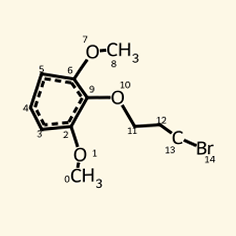 COc1cccc(OC)c1OCCCBr